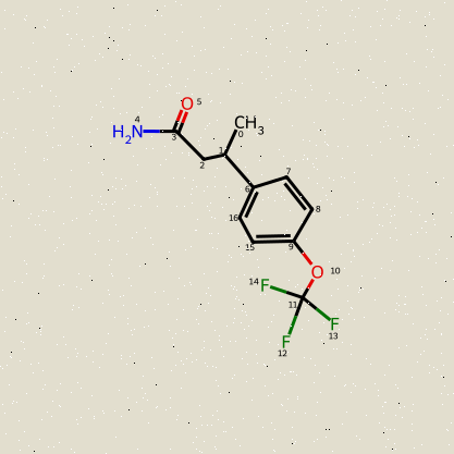 CC(CC(N)=O)c1ccc(OC(F)(F)F)cc1